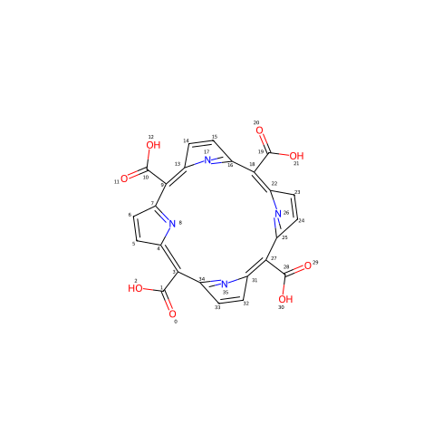 O=C(O)C1=C2C=CC(=N2)C(C(=O)O)=C2C=CC(=N2)C(C(=O)O)=C2C=CC(=N2)C(C(=O)O)=C2C=CC1=N2